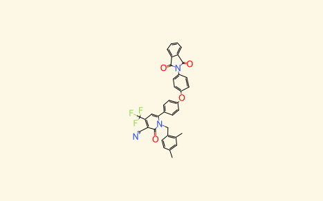 Cc1ccc(Cn2c(-c3ccc(Oc4ccc(N5C(=O)c6ccccc6C5=O)cc4)cc3)cc(C(F)(F)F)c(C#N)c2=O)c(C)c1